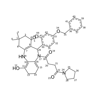 CC1(C)CC(=O)C2=C(C1)NC1=C(O)CCC=C1N(C(=O)CCC(=O)N1CCCC1)C2c1ccc(OCc2ccccc2)cc1Cl